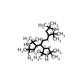 CC1(C)CC(CCC(C2CC(C)(C)NC2(C)C)C2CC(C)(C)NC2(C)C)C(C)(C)N1